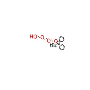 CC(C)(C)[Si](OCCOCCOCCO)(c1ccccc1)c1ccccc1